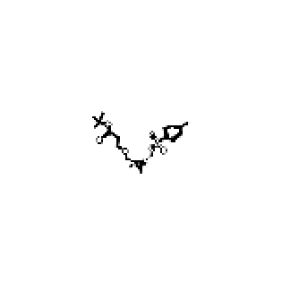 Cc1ccc(S(=O)(=O)OC[C@@H]2C[C@H]2COCCC(=O)OC(C)(C)C)cc1